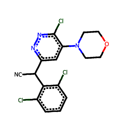 N#CC(c1cc(N2CCOCC2)c(Cl)nn1)c1c(Cl)cccc1Cl